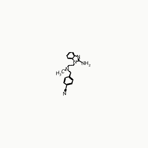 CN(CCn1c(N)nc2ccccc21)Cc1ccc(C#N)cc1